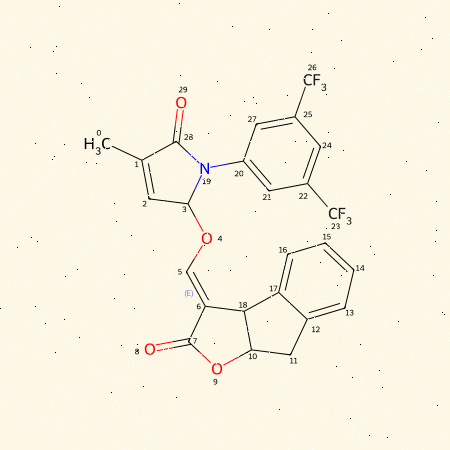 CC1=CC(O/C=C2/C(=O)OC3Cc4ccccc4C23)N(c2cc(C(F)(F)F)cc(C(F)(F)F)c2)C1=O